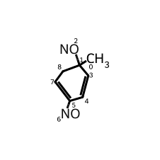 CC1(N=O)C=CC(N=O)=CC1